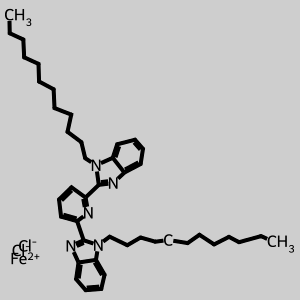 CCCCCCCCCCCCn1c(-c2cccc(-c3nc4ccccc4n3CCCCCCCCCCCC)n2)nc2ccccc21.[Cl-].[Cl-].[Fe+2]